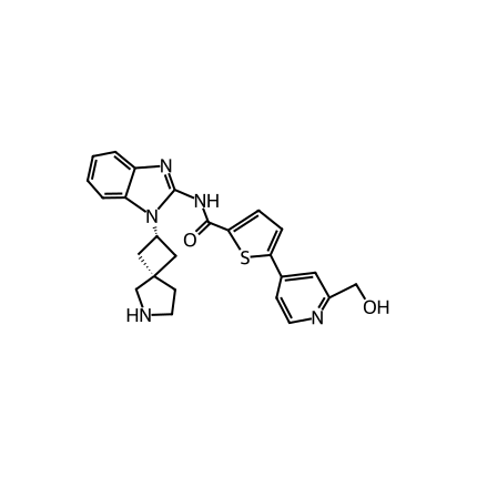 O=C(Nc1nc2ccccc2n1[C@H]1C[C@@]2(CCNC2)C1)c1ccc(-c2ccnc(CO)c2)s1